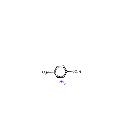 N.O=[N+]([O-])c1ccc(S(=O)(=O)O)cc1